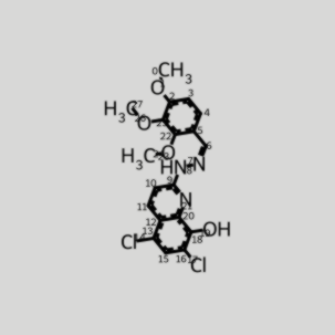 COc1ccc(/C=N\Nc2ccc3c(Cl)cc(Cl)c(O)c3n2)c(OC)c1OC